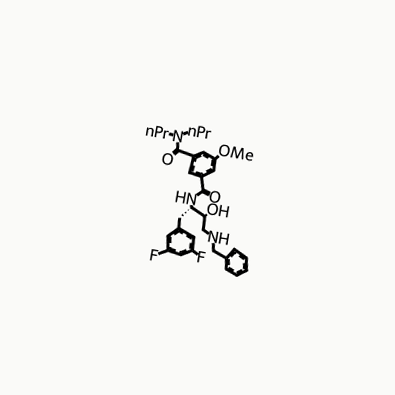 CCCN(CCC)C(=O)c1cc(OC)cc(C(=O)N[C@@H](Cc2cc(F)cc(F)c2)[C@H](O)CNCc2ccccc2)c1